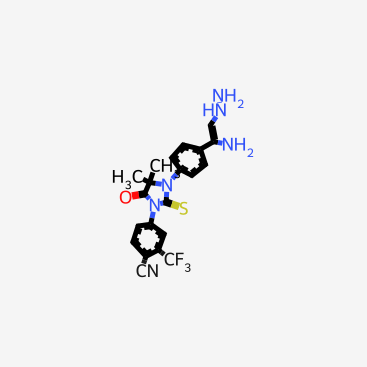 CC1(C)C(=O)N(c2ccc(C#N)c(C(F)(F)F)c2)C(=S)N1c1ccc(/C(N)=C/NN)cc1